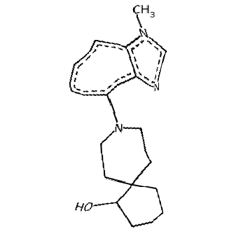 Cn1cnc2c(N3CCC4(CCCC4O)CC3)cccc21